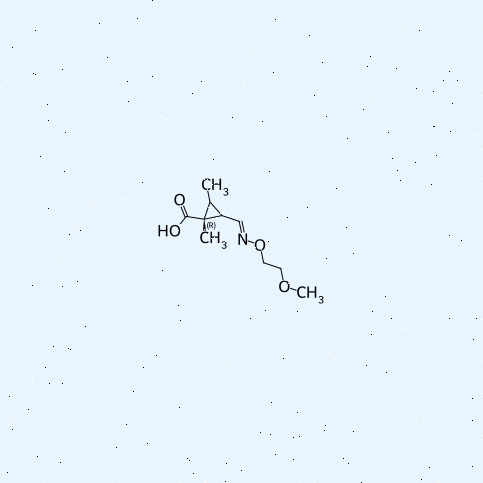 COCCON=CC1C(C)[C@@]1(C)C(=O)O